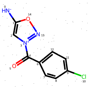 [NH-]c1c[n+](C(=O)c2ccc(Cl)cc2)no1